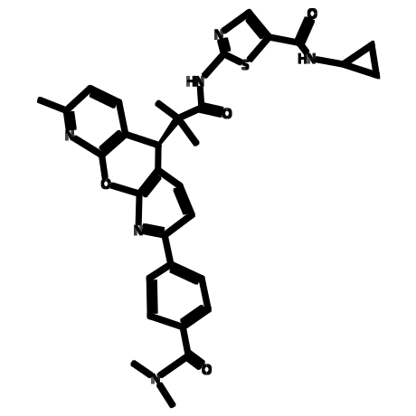 Cc1ccc2c(n1)Oc1nc(-c3ccc(C(=O)N(C)C)cc3)ccc1[C@@H]2C(C)(C)C(=O)Nc1ncc(C(=O)NC2CC2)s1